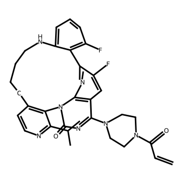 C=CC(=O)N1CCN(c2nc(=O)n3c4nc(c(F)cc24)-c2c(F)cccc2NCCCCc2ccnc(C(C)C)c2-3)CC1